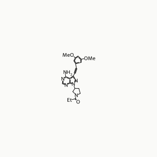 CCC(=O)N1CCC(n2nc(C#Cc3cc(OC)cc(OC)c3)c3c(N)ncnc32)C1